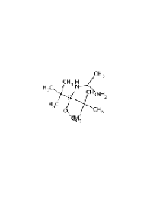 CO[Si](NC(C)N)(C(C)(C)C)C(C)(C)C